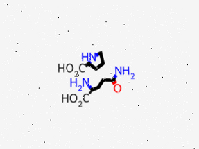 NC(=O)CC[C@H](N)C(=O)O.O=C(O)C1CCCN1